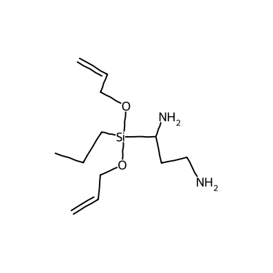 C=CCO[Si](CCC)(OCC=C)C(N)CCN